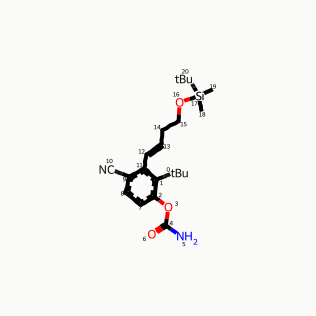 CC(C)(C)c1c(OC(N)=O)ccc(C#N)c1C=CCCO[Si](C)(C)C(C)(C)C